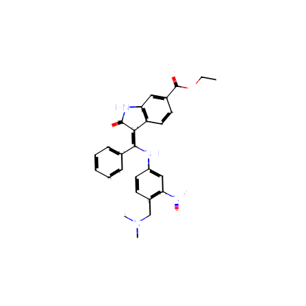 CCOC(=O)c1ccc2c(c1)NC(=O)/C2=C(/Nc1ccc(CN(C)C)c([N+](=O)[O-])c1)c1ccccc1